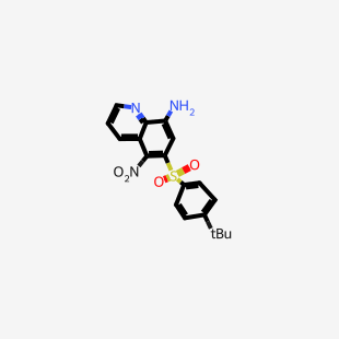 CC(C)(C)c1ccc(S(=O)(=O)c2cc(N)c3ncccc3c2[N+](=O)[O-])cc1